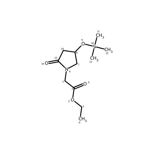 CCOC(=O)CN1CC(O[Si](C)(C)C)CC1=O